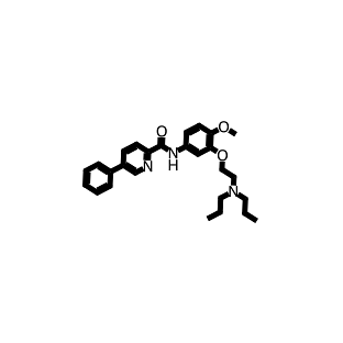 CCCN(CCC)CCOc1cc(NC(=O)c2ccc(-c3ccccc3)cn2)ccc1OC